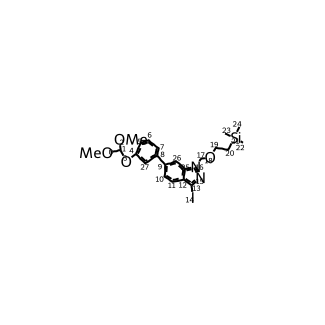 COC(OC)Oc1cccc(-c2ccc3c(I)nn(COCC[Si](C)(C)C)c3c2)c1